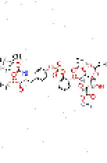 COC(=O)C(Cc1ccc(OS(=O)(=O)Oc2ccccc2O[C@@H]2O[C@H](C(=O)OC)[C@@H](O)[C@H](OC(C)=O)[C@H]2OC(C)=O)cc1)NC(=O)OC(C)(C)C